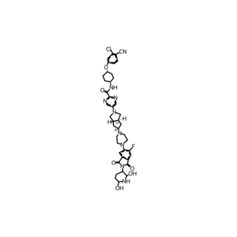 N#Cc1ccc(O[C@H]2CC[C@H](NC(=O)c3ncc(N4C[C@H]5C[C@@H](N6CCN(c7cc8c(cc7F)C(=O)N(C7CCC(O)NC7O)C8=O)CC6)C[C@H]5C4)cn3)CC2)cc1Cl